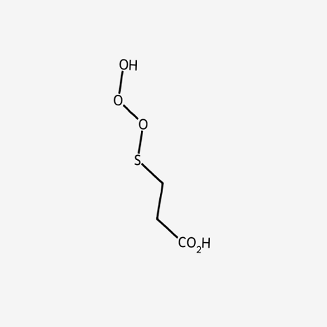 O=C(O)CCSOOO